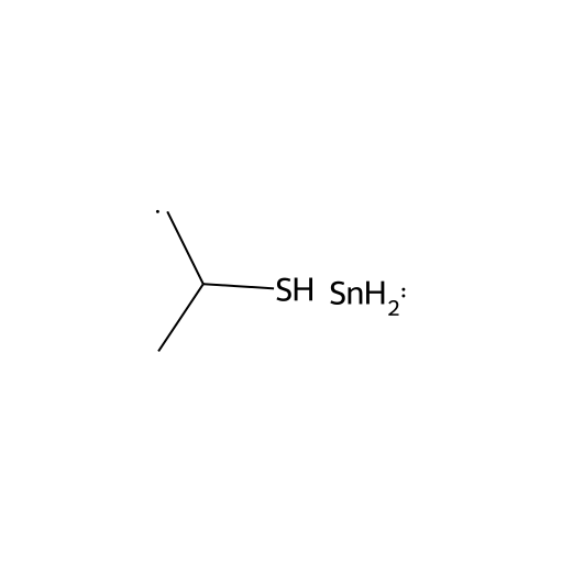 [CH2]C(C)S.[SnH2]